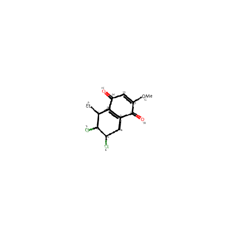 CCC1C2=C(CC(Cl)C1Cl)C(=O)C(OC)=CC2=O